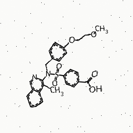 COCCOc1ccc(CN(c2ncc3ccccc3c2C)S(=O)(=O)c2ccc(C(=O)O)cc2)cc1